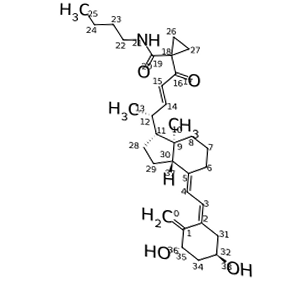 C=C1/C(=C\C=C2/CCC[C@]3(C)[C@@H]([C@H](C)/C=C/C(=O)C4(C(=O)NCCCC)CC4)CC[C@@H]23)C[C@@H](O)C[C@@H]1O